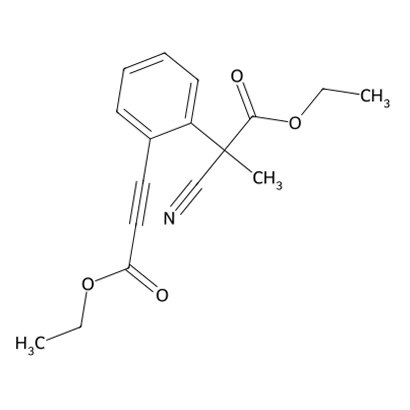 CCOC(=O)C#Cc1ccccc1C(C)(C#N)C(=O)OCC